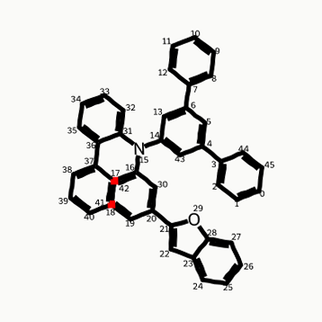 c1ccc(-c2cc(-c3ccccc3)cc(N(c3cccc(-c4cc5ccccc5o4)c3)c3ccccc3-c3ccccc3)c2)cc1